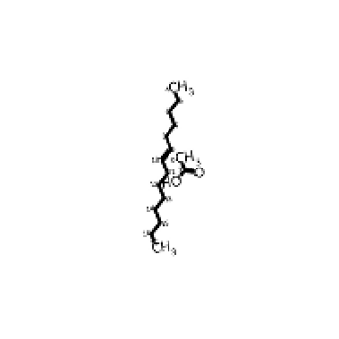 CC(=O)O.CCCCC/C=C/CCCCCCC